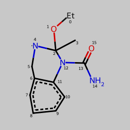 CCOC1(C)[N]Cc2ccccc2N1C(N)=O